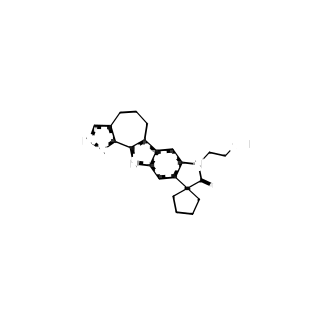 O=C1N(CCO)c2cc3c4c([nH]c3cc2C12CCCC2)-c1n[nH]cc1CCC4